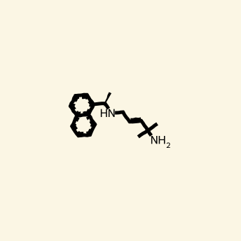 C[C@@H](NC/C=C/C(C)(C)N)c1cccc2ccccc12